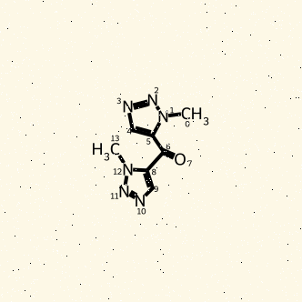 Cn1nncc1C(=O)c1cnnn1C